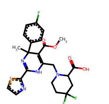 COC(=O)C1=C(CN2CCC(F)(F)CC2C(=O)O)NC(c2nccs2)=NC1(C)c1ccc(F)cc1